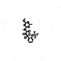 COc1nc(C)nc(N(C)C(=O)NS(=O)(=O)c2ccccc2OC(F)(F)F)n1